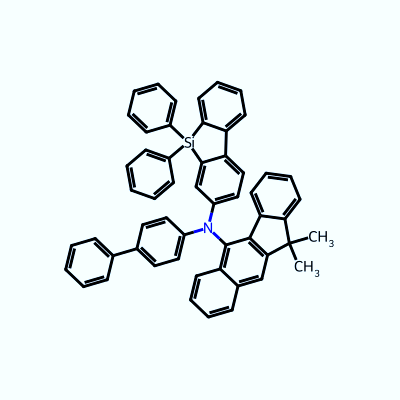 CC1(C)c2ccccc2-c2c1cc1ccccc1c2N(c1ccc(-c2ccccc2)cc1)c1ccc2c(c1)[Si](c1ccccc1)(c1ccccc1)c1ccccc1-2